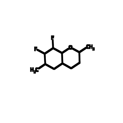 CC1CCC2CC(C)C(F)C(F)C2O1